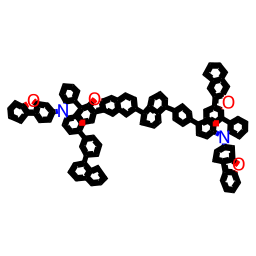 c1cc(-c2ccc(N(c3ccc4c(c3)oc3ccccc34)c3ccccc3-c3cccc4c3oc3cc5ccc(-c6cccc7c(-c8ccc(-c9ccc(N(c%10ccc%11c(c%10)oc%10ccccc%10%11)c%10ccccc%10-c%10cccc%11c%10oc%10cc%12ccccc%12cc%10%11)cc9)cc8)cccc67)cc5cc34)cc2)cc(-c2cccc3ccccc23)c1